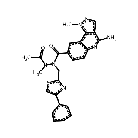 CC(=O)N(C)N(Cc1nc(-c2ccccc2)cs1)C(=O)c1ccc2nc(N)c3cnn(C)c3c2c1